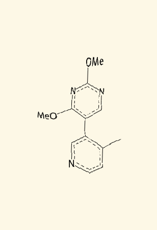 COc1ncc(-c2cnccc2C)c(OC)n1